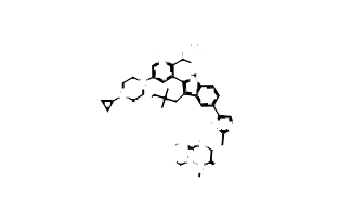 CCn1c(-c2cc(N3CCN(C4CC4)CC3)cnc2[C@H](C)OC)c(CC(C)(C)CO)c2cc(-c3csc(C[C@H](NC(=O)OC(C)(C)C)C(=O)N(C)NCC(=O)O)n3)ccc21